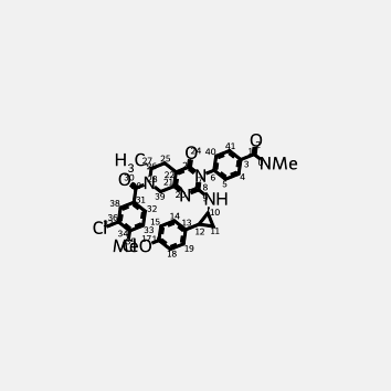 CNC(=O)c1ccc(-n2c(N[C@@H]3CC3c3ccc(OC)cc3)nc3c(c2=O)C[C@@H](C)N(C(=O)c2ccc(Cl)c(Cl)c2)C3)cc1